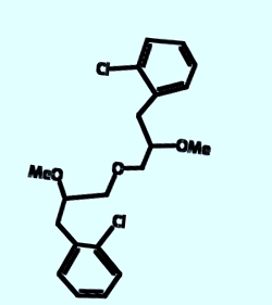 COC(COCC(Cc1ccccc1Cl)OC)Cc1ccccc1Cl